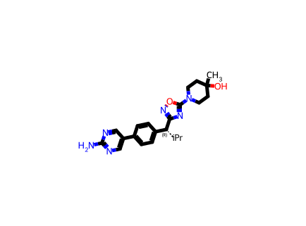 CC(C)[C@H](c1ccc(-c2cnc(N)nc2)cc1)c1noc(N2CCC(C)(O)CC2)n1